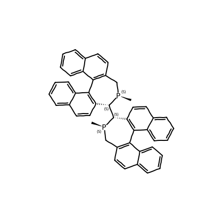 C[P@]1Cc2ccc3ccccc3c2-c2c(ccc3ccccc23)[C@H]1[C@@H]1c2ccc3ccccc3c2-c2c(ccc3ccccc23)C[P@@]1C